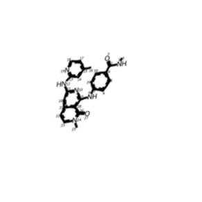 CNC(=O)c1ccc(Nc2nc(Nc3cc(C)ccn3)cc3ccn(C)c(=O)c23)cc1